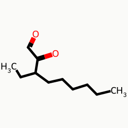 CCCCCCC(CC)C(=O)C=O